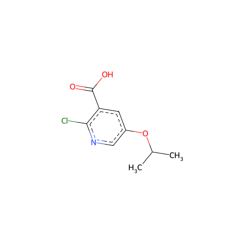 CC(C)Oc1cnc(Cl)c(C(=O)O)c1